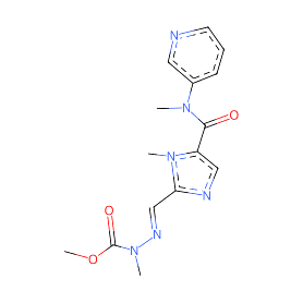 COC(=O)N(C)/N=C/c1ncc(C(=O)N(C)c2cccnc2)n1C